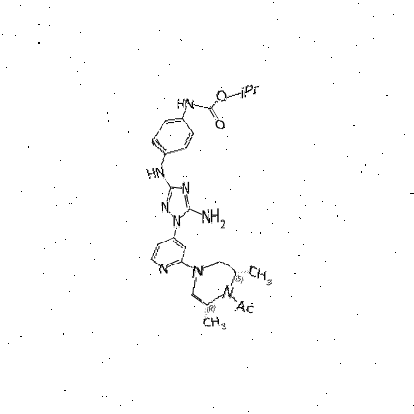 CC(=O)N1[C@H](C)CN(c2cc(-n3nc(Nc4ccc(NC(=O)OC(C)C)cc4)nc3N)ccn2)C[C@@H]1C